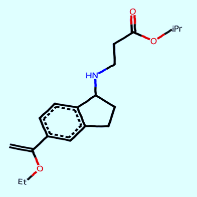 C=C(OCC)c1ccc2c(c1)CCC2NCCC(=O)OC(C)C